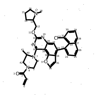 C=CC(=O)N1CCN(c2nc(OCC3CCCN3C)nc3cc(-c4cccc5cccc(Cl)c45)c4ccoc4c23)C(C)C1